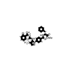 COC(=O)[C@@H](Cc1ccccc1)NC(=O)c1ccc(-n2ncc(C)c2NC(=O)OC(C)c2ccccc2Cl)cc1